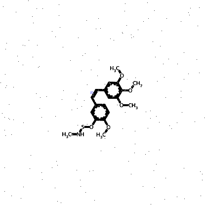 CNSOc1cc(/C=C\c2cc(OC)c(OC)c(OC)c2)ccc1OC